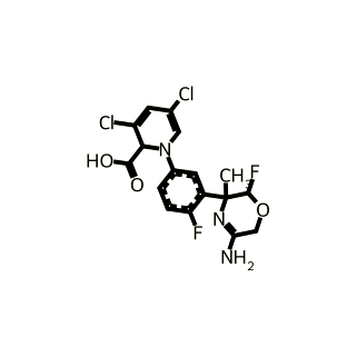 CC1(c2cc(N3C=C(Cl)C=C(Cl)C3C(=O)O)ccc2F)N=C(N)COC1F